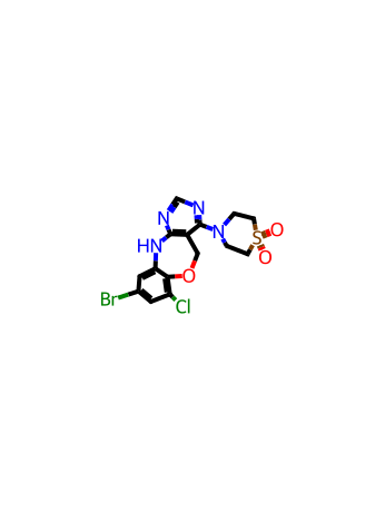 O=S1(=O)CCN(c2ncnc3c2COc2c(Cl)cc(Br)cc2N3)CC1